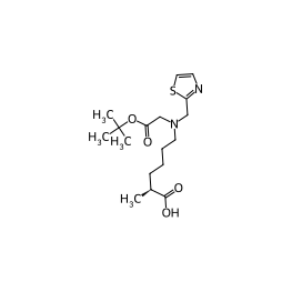 C[C@@H](CCCCN(CC(=O)OC(C)(C)C)Cc1nccs1)C(=O)O